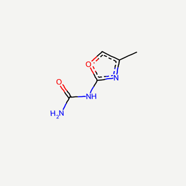 Cc1coc(NC(N)=O)n1